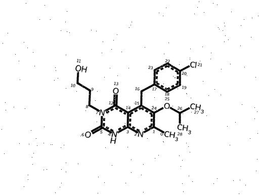 Cc1nc2[nH]c(=O)n(CCCO)c(=O)c2c(Cc2ccc(Cl)cc2)c1OC(C)C